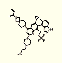 C=CC(=O)N1CC2(CCN(c3nc(N4CCN(CCOC)CC4)nc4c(OCC(F)(F)F)c(-c5c(C)ccc6[nH]ncc56)c(C5CC5)cc34)CC2)C1